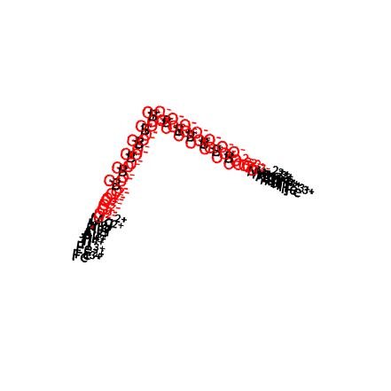 [Al+3].[Al+3].[Al+3].[Al+3].[Al+3].[Fe+3].[Fe+3].[Fe+3].[Fe+3].[Fe+3].[Mg+2].[Mg+2].[Mg+2].[Mg+2].[Mg+2].[O-2].[O-2].[O-2].[O-2].[O-2].[O-2].[O-2].[O-2].[O-2].[O-2].[O-2].[O-2].[O-]B([O-])[O-].[O-]B([O-])[O-].[O-]B([O-])[O-].[O-]B([O-])[O-].[O-]B([O-])[O-].[O-]B([O-])[O-].[O-]B([O-])[O-].[O-]B([O-])[O-].[O-]B([O-])[O-].[O-]B([O-])[O-].[O-]B([O-])[O-].[O-]B([O-])[O-].[Ti+4].[Ti+4].[Ti+4].[Ti+4].[Ti+4]